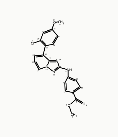 COC(=O)c1ccc(Nc2nc3c(-c4ccc(OC)cc4Cl)cccn3n2)cc1